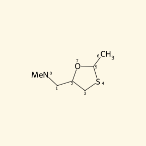 CNCC1CSC(C)O1